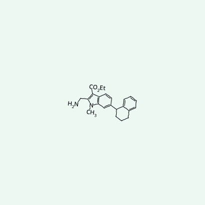 CCOC(=O)c1c(CN)n(C)c2cc(C3CCCc4ccccc43)ccc12